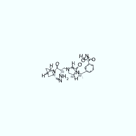 C[C@@H](c1cccc(S(N)(=O)=O)c1)N1C(=O)[C@@H]2C[C@H]1CN2C[C@H](N)C(=O)N1[C@H](C#N)C[C@@H]2C[C@@H]21